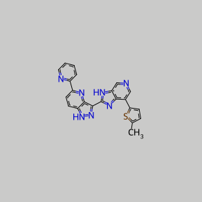 Cc1ccc(-c2cncc3[nH]c(-c4n[nH]c5ccc(-c6ccccn6)nc45)nc23)s1